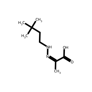 CC(=NNCCC(C)(C)C)C(=O)O